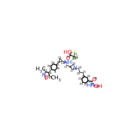 Cc1noc(C)c1-c1ccc(C2CC2NCC2CN(CCCc3cccc(C(=O)NO)c3)C2)cc1.O=C(O)C(F)(F)F